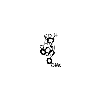 COc1cccc(-n2ccc3nc(N4CCC[C@@H](NC(=O)O)C4)n(Cc4ccccc4Cl)c3c2=O)c1